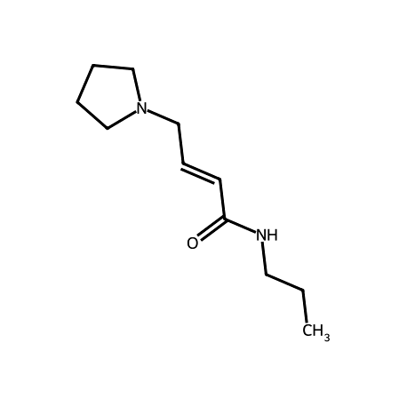 CCCNC(=O)/C=C/CN1CCCC1